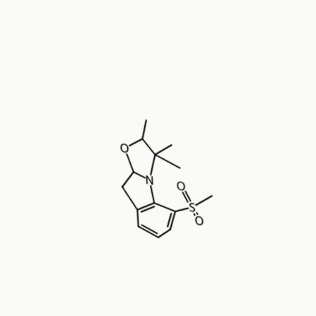 CC1OC2Cc3cccc(S(C)(=O)=O)c3N2C1(C)C